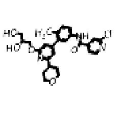 Cc1ccc(NC(=O)c2ccnc(Cl)c2)cc1-c1cc(OCC(O)CO)nc(C2CCOCC2)c1